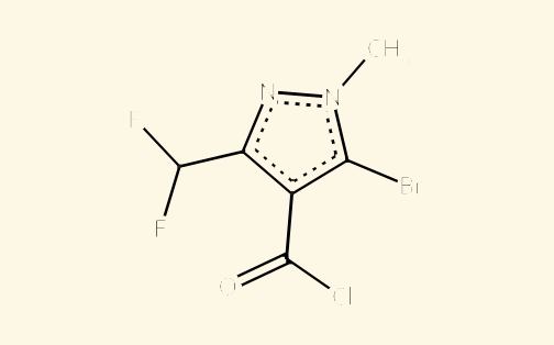 Cn1nc(C(F)F)c(C(=O)Cl)c1Br